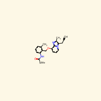 C#CCc1c(C)nc2c(OCc3c(C)cccc3NC(=O)NC)cccn12